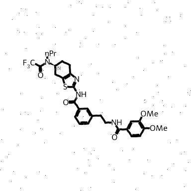 CCCN(C(=O)C(F)(F)F)[C@H]1CCc2nc(NC(=O)c3cccc(CCNC(=O)c4ccc(OC)c(OC)c4)c3)sc2C1